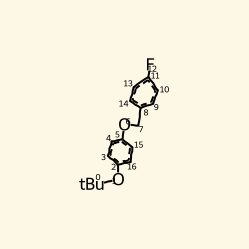 CC(C)(C)Oc1ccc(OCc2ccc(F)cc2)cc1